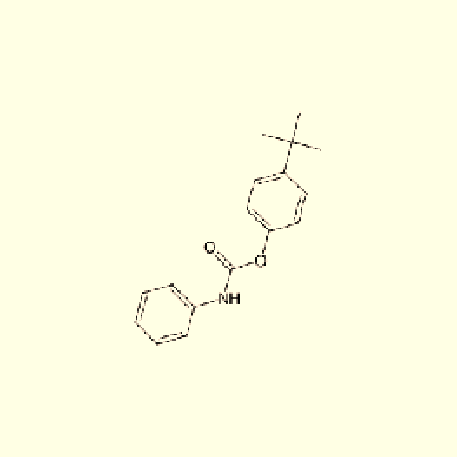 CC(C)(C)c1ccc(OC(=O)Nc2ccccc2)cc1